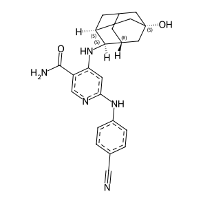 N#Cc1ccc(Nc2cc(N[C@@H]3[C@@H]4CC5C[C@H]3C[C@@](O)(C5)C4)c(C(N)=O)cn2)cc1